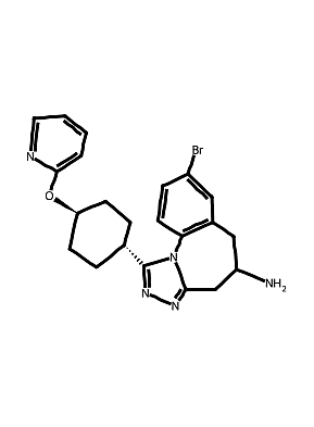 NC1Cc2cc(Br)ccc2-n2c(nnc2[C@H]2CC[C@H](Oc3ccccn3)CC2)C1